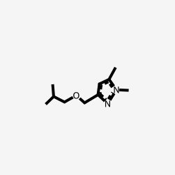 Cc1cc(COCC(C)C)nn1C